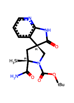 CC(C)(C)OC(=O)N1C[C@]2(C[C@@]1([SiH3])C(N)=O)C(=O)Nc1ncccc12